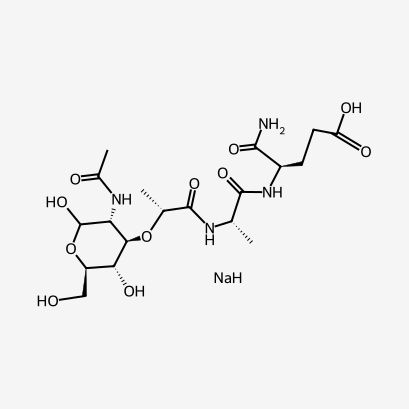 CC(=O)N[C@H]1C(O)O[C@H](CO)[C@@H](O)[C@@H]1O[C@H](C)C(=O)N[C@@H](C)C(=O)N[C@H](CCC(=O)O)C(N)=O.[NaH]